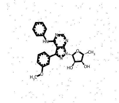 COc1cccc(-c2nn([C@@H]3O[C@H](C)[C@@H](O)[C@H]3O)c3ncnc(Nc4ccccc4)c23)c1